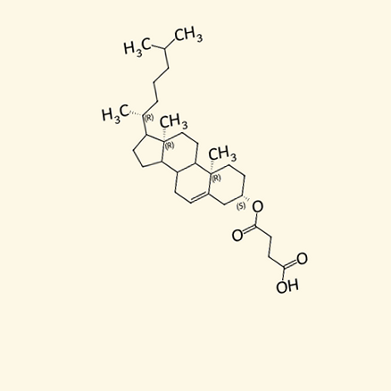 CC(C)CCC[C@@H](C)C1CCC2C3CC=C4C[C@@H](OC(=O)CCC(=O)O)CC[C@]4(C)C3CC[C@@]21C